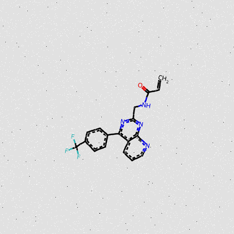 C=CC(=O)NCc1nc(-c2ccc(C(F)(F)F)cc2)c2cccnc2n1